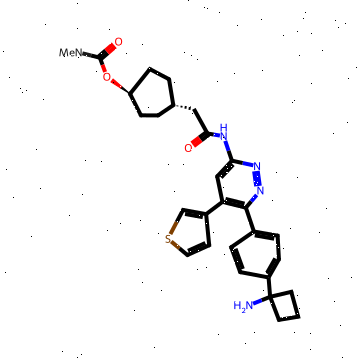 CNC(=O)O[C@H]1CC[C@H](CC(=O)Nc2cc(-c3ccsc3)c(-c3ccc(C4(N)CCC4)cc3)nn2)CC1